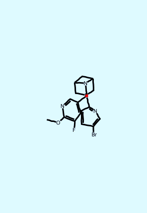 COc1ncc(CN2C3CC2CN(c2ccc(Br)cn2)C3)cc1F